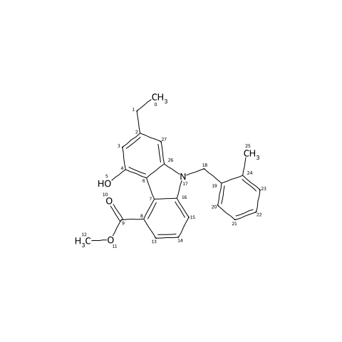 CCc1cc(O)c2c3c(C(=O)OC)cccc3n(Cc3ccccc3C)c2c1